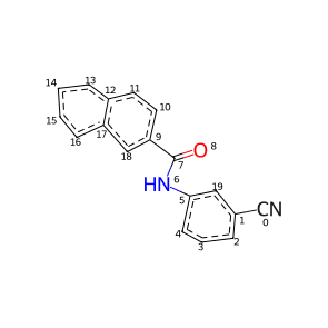 N#Cc1cccc(NC(=O)c2ccc3ccccc3c2)c1